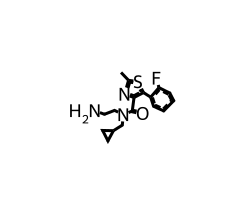 Cc1nc(C(=O)N(CCN)CC2CC2)c(-c2ccccc2F)s1